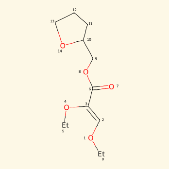 CCOC=C(OCC)C(=O)OCC1CCCO1